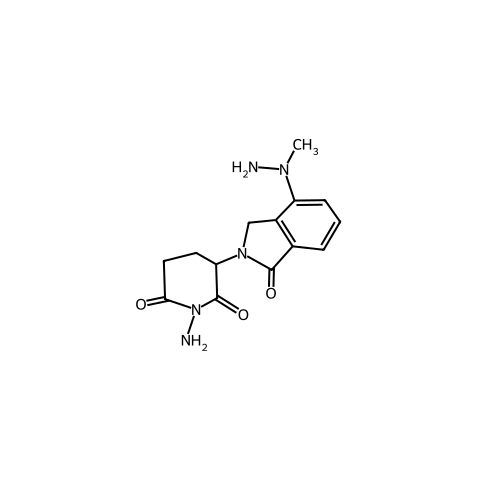 CN(N)c1cccc2c1CN(C1CCC(=O)N(N)C1=O)C2=O